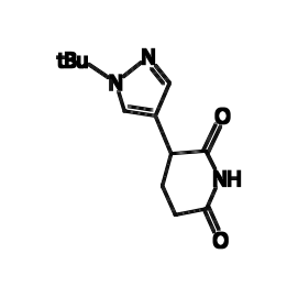 CC(C)(C)n1cc(C2CCC(=O)NC2=O)cn1